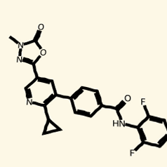 Cn1nc(-c2cnc(C3CC3)c(-c3ccc(C(=O)Nc4c(F)cccc4F)cc3)c2)oc1=O